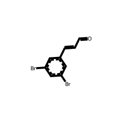 O=C/C=C/c1cc(Br)cc(Br)c1